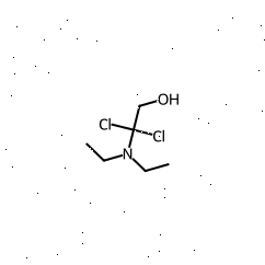 CCN(CC)C(Cl)(Cl)CO